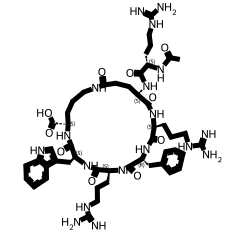 CC(=O)N[C@@H](CCCNC(=N)N)C(=O)N[C@H]1CCC(=O)NCCC[C@@H](C(=O)O)NC(=O)[C@H](Cc2c[nH]c3ccccc23)NC(=O)[C@H](CCCNC(=N)N)NC(=O)[C@@H](Cc2ccccc2)NC(=O)[C@H](CCCNC(=N)N)NC1=O